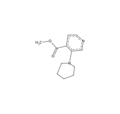 COC(=O)c1ccn[c]c1N1CCCCC1